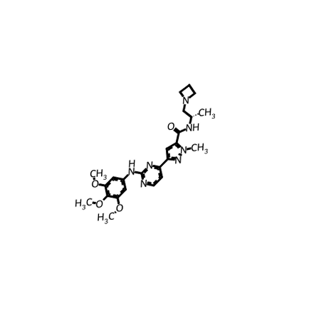 COc1cc(Nc2nccc(-c3cc(C(=O)N[C@@H](C)CN4CCC4)n(C)n3)n2)cc(OC)c1OC